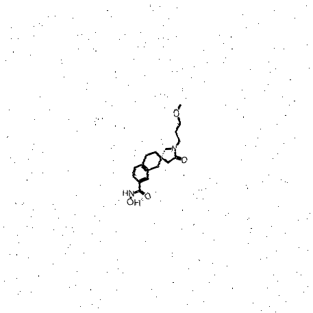 COCCCN1C[C@]2(CCc3ccc(C(=O)NO)cc3C2)CC1=O